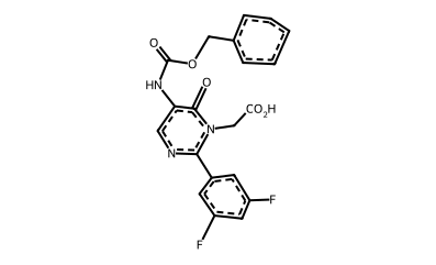 O=C(O)Cn1c(-c2cc(F)cc(F)c2)ncc(NC(=O)OCc2ccccc2)c1=O